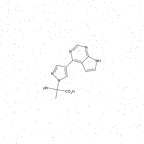 CCCC(C)(C(=O)O)n1cc(-c2ncnc3[nH]ccc23)cn1